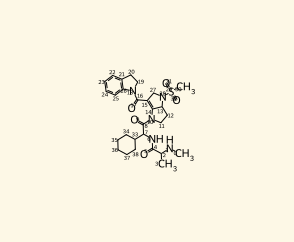 CNC(C)C(=O)NC(C(=O)N1CCC2C1=C(C(=O)N1CCc3ccccc31)CN2S(C)(=O)=O)C1CCCCC1